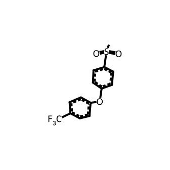 CS(=O)(=O)c1ccc(Oc2ccc(C(F)(F)F)cc2)cc1